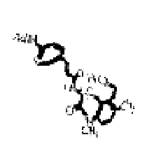 CC(=O)Nc1ccc(C=CC(=O)NCC(=O)N(C)c2ccc(C)c(CO)c2C)cn1